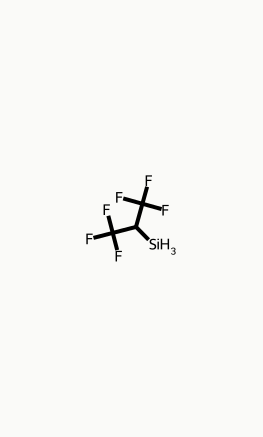 FC(F)(F)C([SiH3])C(F)(F)F